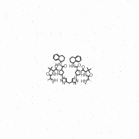 CN[C@@H](C)C(=O)N[C@H](C(=O)N1C[C@@H](n2cc(Cc3cn([C@H]4C[C@@H](C(=O)N[C@@H]5CCCc6ccccc65)N(C(=O)[C@@H](NC(=O)[C@H](C)NC)C(C)(C)C)C4)nn3)nn2)CC1C(=O)N[C@@H]1CCCc2ccccc21)C(C)(C)C